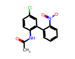 CC(=O)Nc1ccc(Cl)cc1-c1ccccc1[N+](=O)[O-]